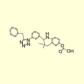 CC1(C)Cc2cc(OC(=O)O)ccc2NC1c1cccc(-n2nnnc2Cc2ccccc2)c1